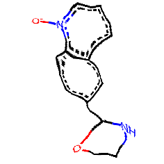 [O-][n+]1cccc2cc(C3NCCO3)ccc21